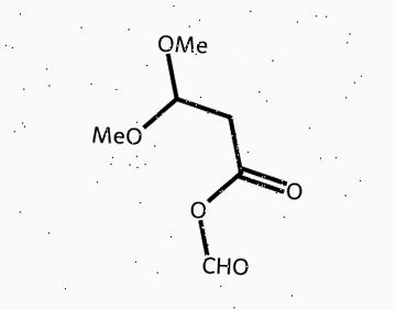 COC(CC(=O)OC=O)OC